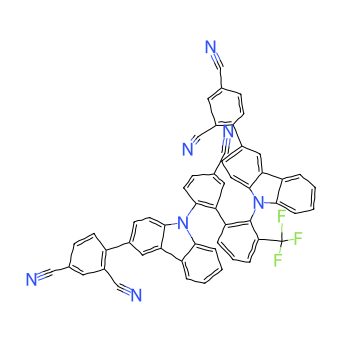 N#Cc1ccc(-c2ccc3c(c2)c2ccccc2n3-c2ccc(C#N)cc2-c2cccc(C(F)(F)F)c2-n2c3ccccc3c3cc(-c4ccc(C#N)cc4C#N)ccc32)c(C#N)c1